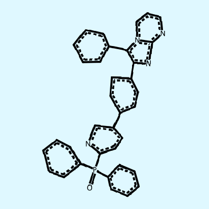 O=P(c1ccccc1)(c1ccccc1)c1ccc(-c2ccc(-c3nc4ncccn4c3-c3ccccc3)cc2)cn1